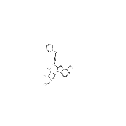 Nc1ncnc2c1nc(NC#COc1ccccc1)n2[C@@H]1O[C@H](CO)C(O)C1O